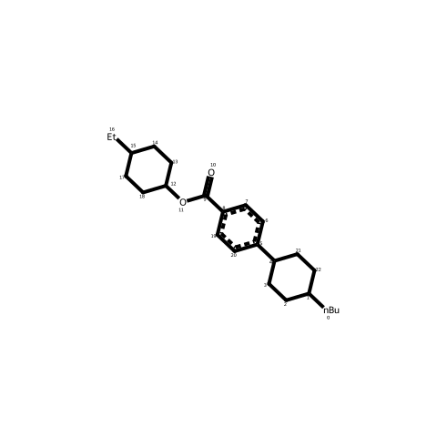 CCCCC1CCC(c2ccc(C(=O)OC3CCC(CC)CC3)cc2)CC1